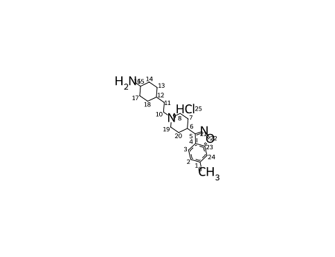 Cc1ccc2c(C3CCN(CCC4CCC(N)CC4)CC3)noc2c1.Cl